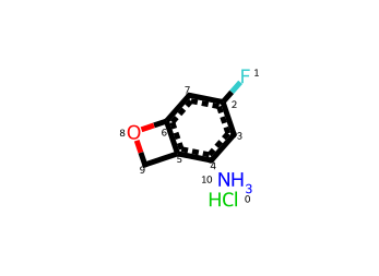 Cl.Fc1ccc2c(c1)OC2.N